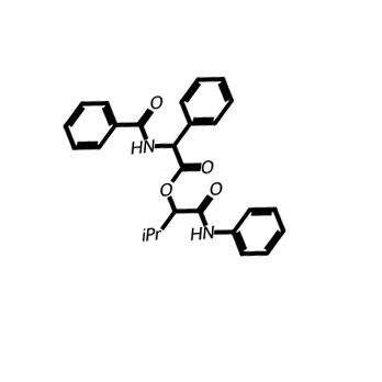 CC(C)C(OC(=O)C(NC(=O)c1ccccc1)c1ccccc1)C(=O)Nc1ccccc1